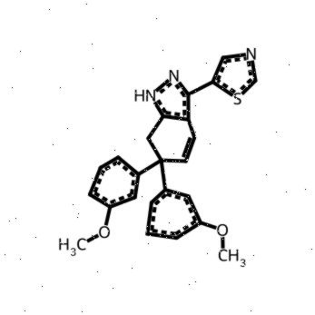 COc1cccc(C2(c3cccc(OC)c3)C=Cc3c(-c4cncs4)n[nH]c3C2)c1